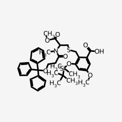 COC(=O)C(CSCc1c(O[Si](C)(C)C(C)(C)C)cc(OC)cc1C(=O)O)N(C)C(=O)CCOC(c1ccccc1)(c1ccccc1)c1ccccc1